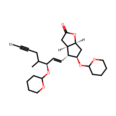 CCC#CCC(C)[C@@H](C=C[C@@H]1[C@H]2CC(=O)O[C@H]2C[C@H]1OC1CCCCO1)OC1CCCCO1